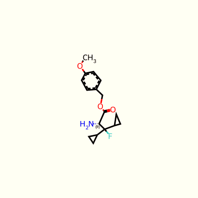 COc1ccc(COC(=O)[C@@H](N)C(F)(C2CC2)C2CC2)cc1